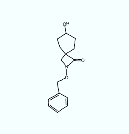 O=C1N(OCc2ccccc2)CC12CCC(O)CC2